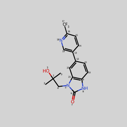 CC(C)(O)Cn1c(=O)[nH]c2ccc(-c3ccc(C(F)(F)F)nc3)cc21